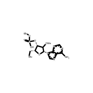 COC1[C@@H](OP(O)(=S)OC(C)(C)C)[C@@H](CC(C)(C)C)O[C@H]1n1cnc2c(N)ncnc21